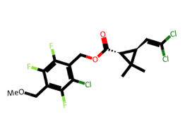 COCc1c(F)c(F)c(COC(=O)[C@@H]2[C@@H](C=C(Cl)Cl)C2(C)C)c(Cl)c1F